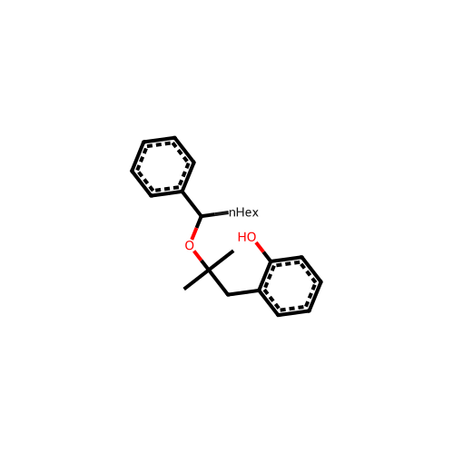 CCCCCCC(OC(C)(C)Cc1ccccc1O)c1ccccc1